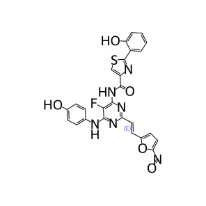 O=Nc1ccc(/C=C/c2nc(NC(=O)c3csc(-c4ccccc4O)n3)c(F)c(Nc3ccc(O)cc3)n2)o1